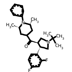 C[C@@H]1CC(C(=O)[C@H]2CN(C(C)(C)C)C[C@@H]2c2ccc(F)cc2F)C[C@H](C)N1c1ccccc1